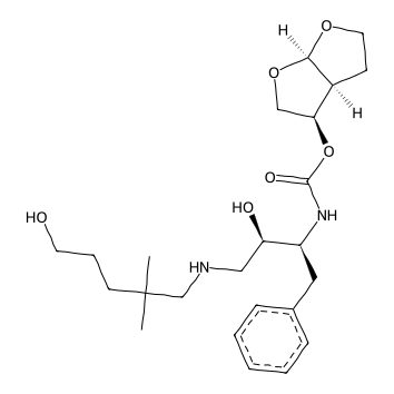 CC(C)(CCCO)CNC[C@@H](O)[C@H](Cc1ccccc1)NC(=O)O[C@H]1CO[C@H]2OCC[C@H]21